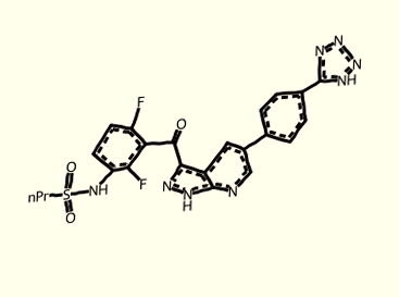 CCCS(=O)(=O)Nc1ccc(F)c(C(=O)c2n[nH]c3ncc(-c4ccc(-c5nnn[nH]5)cc4)cc23)c1F